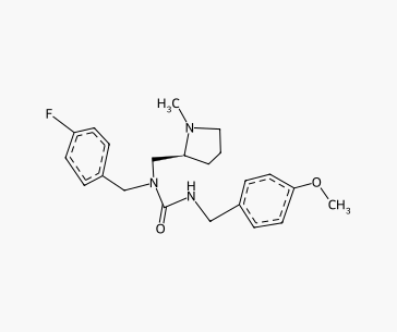 COc1ccc(CNC(=O)N(Cc2ccc(F)cc2)C[C@@H]2CCCN2C)cc1